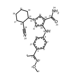 CO/N=C(\C)c1ccc(Nc2nn(C3CCCCC3C#N)cc2C(N)=O)cc1